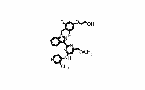 COCc1cc(Nc2ccncc2C)nc(-c2nn(Cc3c(F)cc(OCCO)cc3F)c3ccccc23)n1